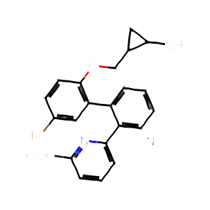 CC1CC1COc1ccc(Br)cc1-c1ccccc1-c1cccc(C(=O)[O-])n1.[Na+]